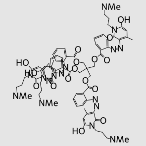 CNCCCn1c(O)cc(C)c(/N=N\c2ccccc2C(=O)OCC(COC(=O)c2ccccc2/N=N\c2c(C)cc(O)n(CCCNC)c2=O)(COC(=O)c2ccccc2/N=N\c2c(C)cc(O)n(CCCNC)c2=O)COC(=O)c2ccccc2/N=N\c2c(C)cc(O)n(CCCNC)c2=O)c1=O